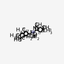 C=C(/N=C(\ON)c1nn(C)c2c1CCC(C)(C)C2)c1cc(C)c(CC(C)CO)c(C)c1